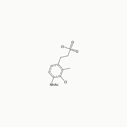 CC(=O)Nc1ccc(CCS(=O)(=O)Cl)c(C)c1Cl